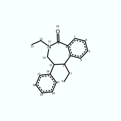 CCC1c2ccccc2C(=O)N(CC)CC1c1ccccc1